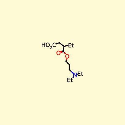 CCC(CC(=O)O)C(=O)OCCCN(CC)CC